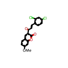 COc1ccc2cc(C(=O)/C=C/c3ccc(Cl)cc3Cl)c(=O)oc2c1